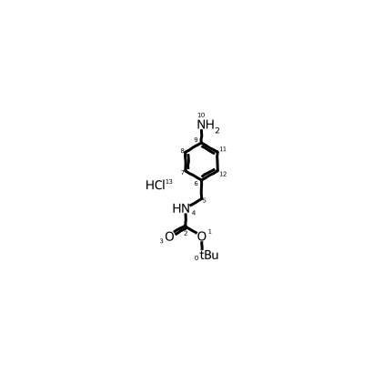 CC(C)(C)OC(=O)NCc1ccc(N)cc1.Cl